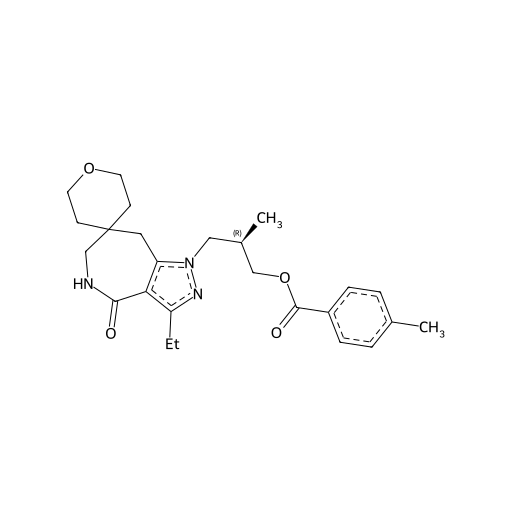 CCc1nn(C[C@@H](C)COC(=O)c2ccc(C)cc2)c2c1C(=O)NCC1(CCOCC1)C2